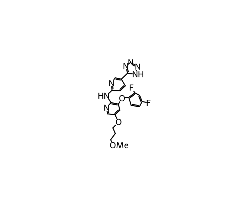 COCCCOc1cnc(Nc2ccc(-c3nnn[nH]3)cn2)c(Oc2ccc(F)cc2F)c1